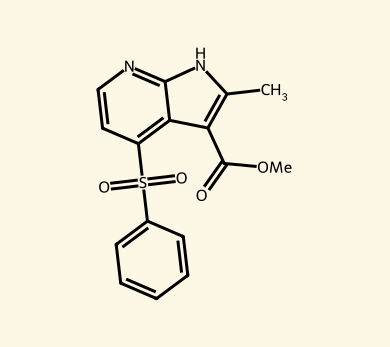 COC(=O)c1c(C)[nH]c2nccc(S(=O)(=O)c3ccccc3)c12